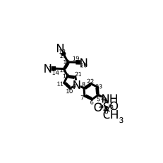 CS(=O)(=O)Nc1ccc(-n2ccc(C(C#N)=C(C#N)C#N)c2)cc1